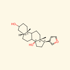 C[C@]12CCC(O)C[C@H]1CCC1C2CC[C@]2(C)[C@@H](c3ccoc3)CC[C@]12O